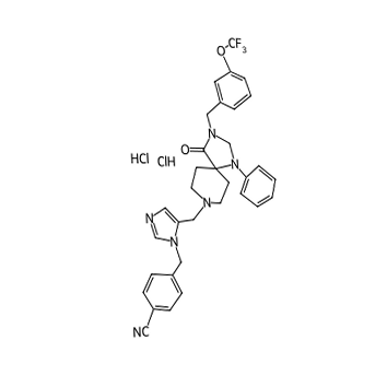 Cl.Cl.N#Cc1ccc(Cn2cncc2CN2CCC3(CC2)C(=O)N(Cc2cccc(OC(F)(F)F)c2)CN3c2ccccc2)cc1